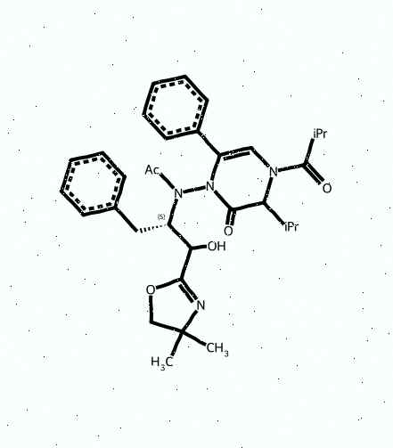 CC(=O)N([C@@H](Cc1ccccc1)C(O)C1=NC(C)(C)CO1)N1C(=O)C(C(C)C)N(C(=O)C(C)C)C=C1c1ccccc1